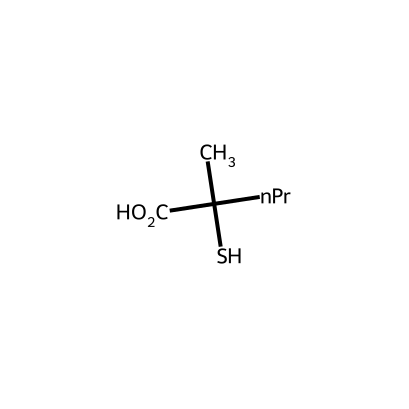 CCCC(C)(S)C(=O)O